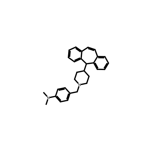 CN(C)c1ccc(CN2CCC(C3c4ccccc4C=Cc4ccccc43)CC2)cc1